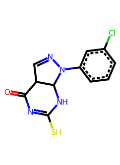 O=C1N=C(S)NC2C1C=NN2c1cccc(Cl)c1